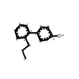 C[CH]Cc1ccccc1-c1ccc(Cl)cc1